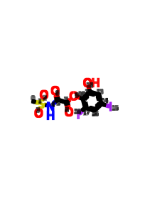 CS(=O)(=O)NC(=O)C(=O)Oc1c(O)cc(I)cc1I